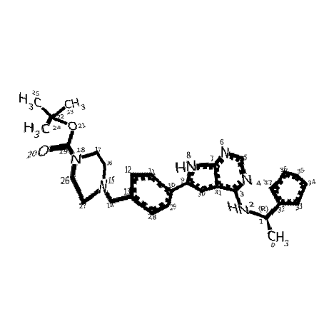 C[C@@H](Nc1ncnc2[nH]c(-c3ccc(CN4CCN(C(=O)OC(C)(C)C)CC4)cc3)cc12)c1ccccc1